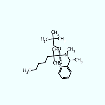 CCCCCC(C)(C)P(=O)(OCC(C)(C)C)N(C)[C@H](C)c1ccccc1